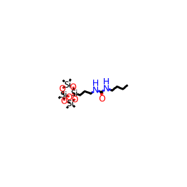 CCCCNC(=O)NCCC[Si]12O[Si](C)(C)O[Si](C)(O[Si](C)(C)O1)O2